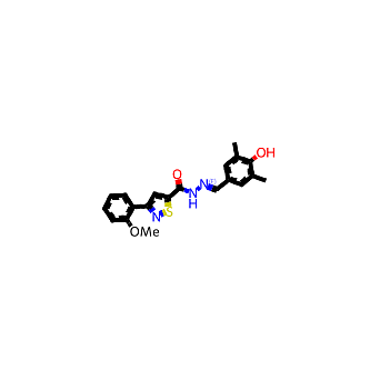 COc1ccccc1-c1cc(C(=O)N/N=C/c2cc(C)c(O)c(C)c2)sn1